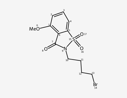 COc1cccc2c1C(=O)N(CCCCBr)S2(=O)=O